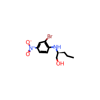 CCC[C@@H](CO)Nc1ccc([N+](=O)[O-])cc1Br